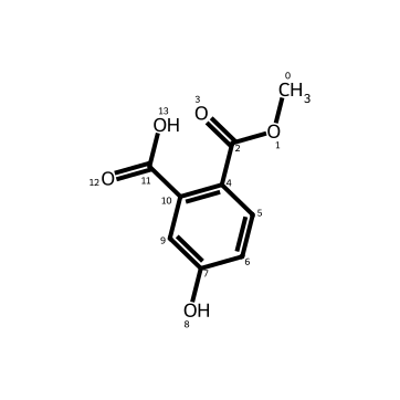 COC(=O)c1ccc(O)cc1C(=O)O